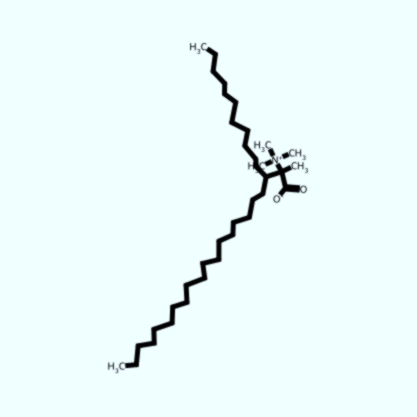 CCCCCCCCCCCCCCCCCCC(CCCCCCCCCCC)C(C)(C(=O)[O-])[N+](C)(C)C